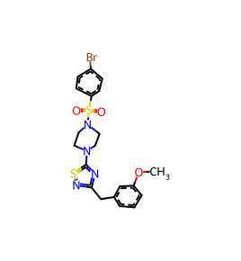 COc1cccc(Cc2nsc(N3CCN(S(=O)(=O)c4ccc(Br)cc4)CC3)n2)c1